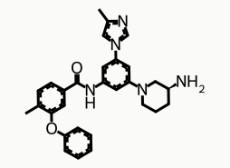 Cc1cn(-c2cc(NC(=O)c3ccc(C)c(Oc4ccccc4)c3)cc(N3CCC[C@H](N)C3)c2)cn1